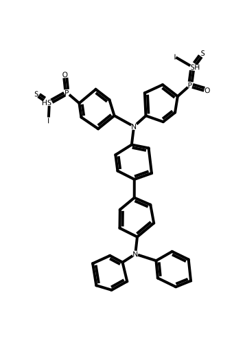 O=P(c1ccc(N(c2ccc(-c3ccc(N(c4ccccc4)c4ccccc4)cc3)cc2)c2ccc(P(=O)=[SH](=S)I)cc2)cc1)=[SH](=S)I